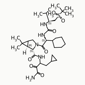 CC(C)[C@@H](CS(=O)(=O)C(C)(C)C)NC(=O)N[C@H](C(=O)N1CC2[C@@H]([C@H]1C(=O)NC(CC1CC1)C(=O)C(N)=O)C2(C)C)C1CCCCC1